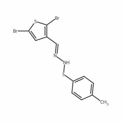 Cc1ccc(SN/N=C/c2cc(Br)sc2Br)cc1